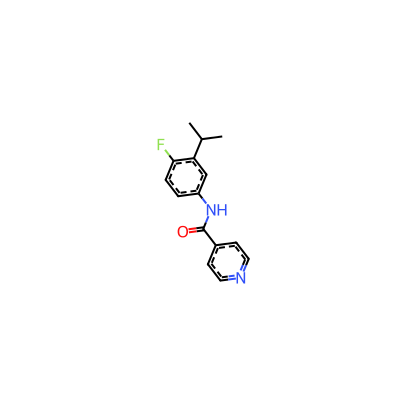 CC(C)c1cc(NC(=O)c2ccncc2)ccc1F